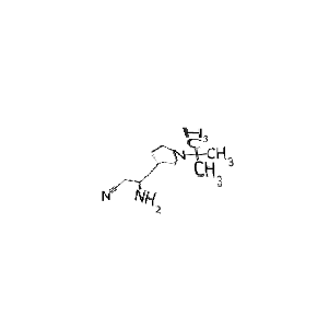 CC(C)(C)N1CC[C@@H]([C@@H](N)CC#N)C1